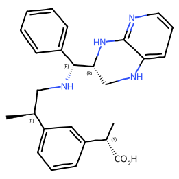 C[C@H](C(=O)O)c1cccc([C@@H](C)CN[C@H](c2ccccc2)[C@H]2CNc3cccnc3N2)c1